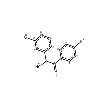 N#CC(C(=O)c1ccc(F)cc1)c1ccnc(Br)c1